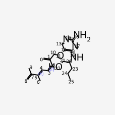 C=C(/C=C\C=C(/C)C(=C)C)COc1cnc(N)nc1NC(CO)CCC